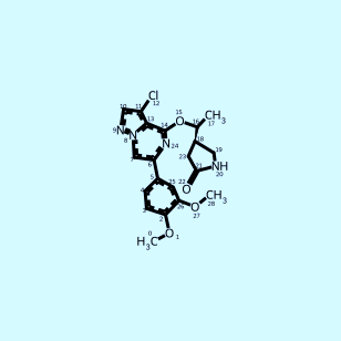 COc1ccc(-c2cn3ncc(Cl)c3c(OC(C)[C@H]3CNC(=O)C3)n2)cc1OC